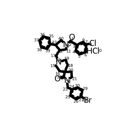 Cl.O=C(c1cccc(Cl)c1)N1CC(CN2CCC3(CC2)CCN(Cc2ccc(Br)cc2)C3=O)C(c2ccccc2)C1